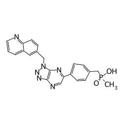 CP(=O)(O)Cc1ccc(-c2cnc3nnn(Cc4ccc5ncccc5c4)c3n2)cc1